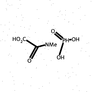 CNC(=O)C(=O)O.O=[PH](O)O